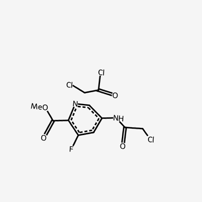 COC(=O)c1ncc(NC(=O)CCl)cc1F.O=C(Cl)CCl